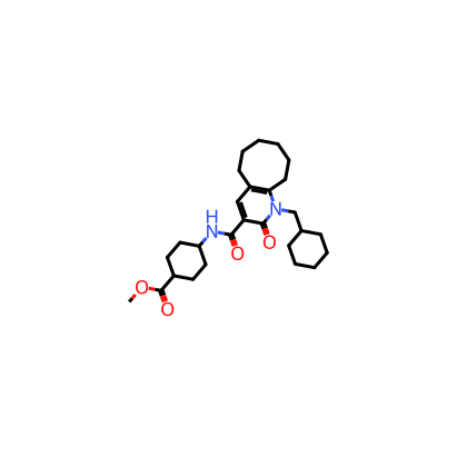 COC(=O)C1CCC(NC(=O)c2cc3c(n(CC4CCCCC4)c2=O)CCCCCC3)CC1